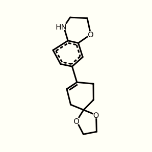 C1=C(c2ccc3c(c2)OCCN3)CCC2(C1)OCCO2